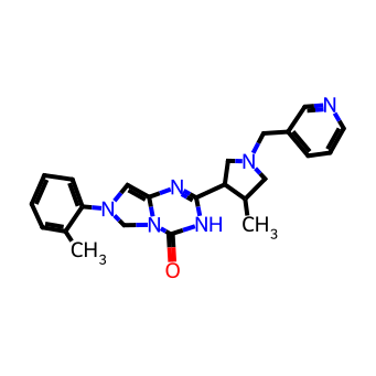 Cc1ccccc1N1C=C2N=C(C3CN(Cc4cccnc4)CC3C)NC(=O)N2C1